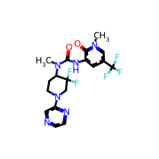 CN(C(=O)Nc1cc(C(F)(F)F)cn(C)c1=O)C1CCN(c2cnccn2)CC1(F)F